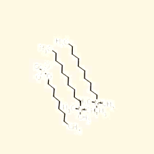 CCCCCCCCCC[N+](C)(C)C.CCCCCCCCCC[N+](C)(C)C.CCCCCCCCOP(=O)([O-])[O-]